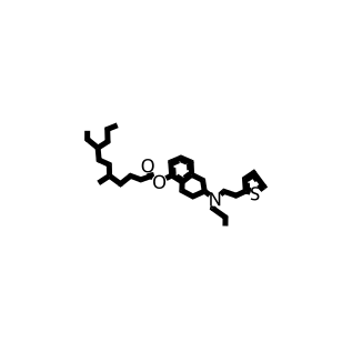 CCCC(CC)CCC(C)CCCC(=O)Oc1cccc2c1CCC(N(CCC)CCc1cccs1)C2